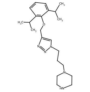 CC(C)c1cccc(C(C)C)c1OCc1cn(CCCN2CCNCC2)nn1